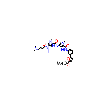 COC(=O)c1ccc(-c2cccc(NC(=O)c3cc(NC(=O)c4cc(NC(=O)CCCN(C)C)cn4C)cn3C)c2)o1